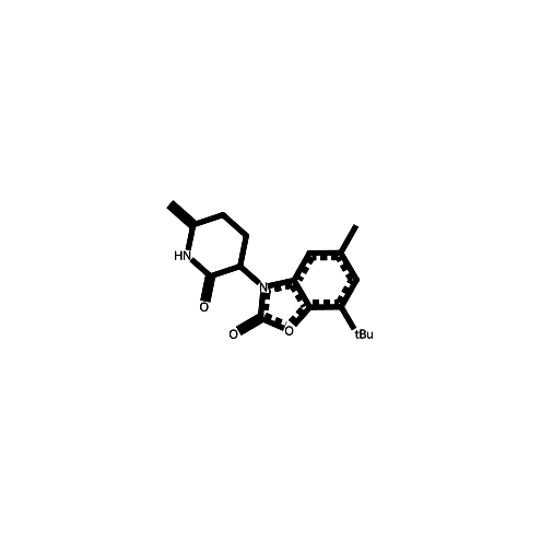 C=C1CCC(n2c(=O)oc3c(C(C)(C)C)cc(C)cc32)C(=O)N1